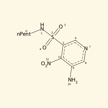 CCCCCNS(=O)(=O)c1cncc(N)c1[N+](=O)[O-]